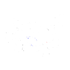 c1ccc(-c2cccc(-c3cccc4c3oc3c(-c5nc(-c6ccccc6)nc(-c6cccc7c6sc6c(-c8ccccc8)cccc67)n5)cccc34)c2)cc1